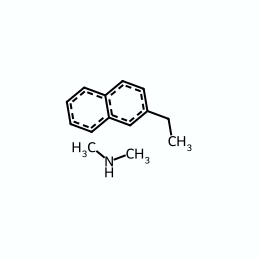 CCc1ccc2ccccc2c1.CNC